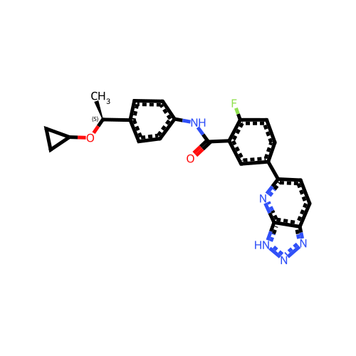 C[C@H](OC1CC1)c1ccc(NC(=O)c2cc(-c3ccc4nn[nH]c4n3)ccc2F)cc1